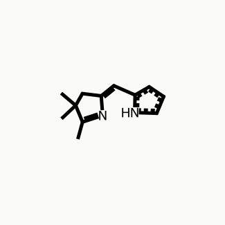 CC1=N/C(=C\c2ccc[nH]2)CC1(C)C